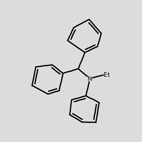 CCN(c1ccccc1)C(c1ccccc1)c1ccccc1